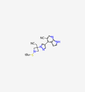 CC(C)(C)SN1CC(CC#N)(n2cc(-c3c(C#N)cnc4[nH]ccc34)cn2)C1